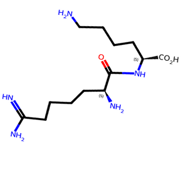 N=C(N)CCCC[C@H](N)C(=O)N[C@@H](CCCCN)C(=O)O